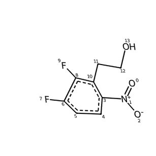 O=[N+]([O-])c1ccc(F)c(F)c1CCO